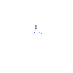 N.O=[N+]([O-])[O-].[Ce].[Ce]